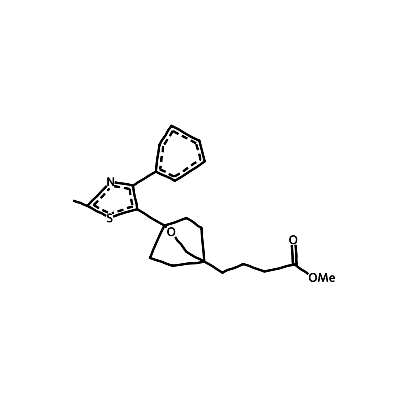 COC(=O)CCCC12CCC(c3sc(C)nc3-c3ccccc3)(CC1)OC2